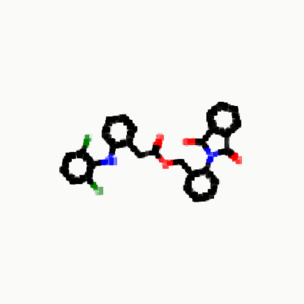 O=C(Cc1ccccc1Nc1c(Cl)cccc1Cl)OCc1ccccc1N1C(=O)c2ccccc2C1=O